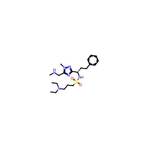 CCN(CC)CCCS(=O)(=O)N[C@H](CCc1ccccc1)c1nc(CNC)n(C)n1